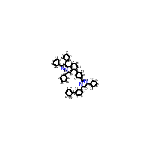 c1ccc(-c2cccc(-c3cc(-c4ccccc4)nc(-c4ccc(-c5cccc6c5cc(-c5ccccc5)n5nc(-c7ccccc7)c(-c7ccccc7)c65)cc4)n3)c2)cc1